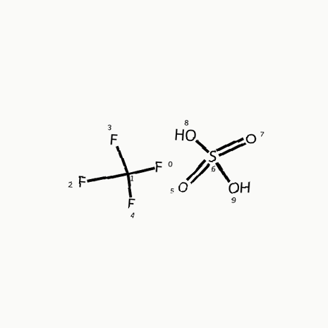 FC(F)(F)F.O=S(=O)(O)O